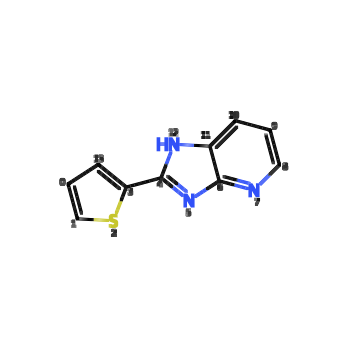 c1csc(-c2nc3ncccc3[nH]2)c1